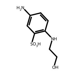 Nc1ccc(NCCO)c(S(=O)(=O)O)c1